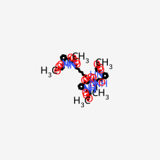 CCCC(=O)NC(CC(=O)c1ccccc1NC(=O)/C=C\C(=O)OC)C(=O)NC(CC(=O)c1ccccc1NC(=O)/C=C\C(=O)OC)C(=O)OCCCCCCC(=O)NC(CC(=O)c1ccccc1NC(=O)/C=C\C(=O)OC)C(=O)OC